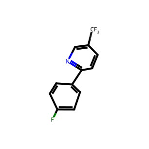 Fc1ccc(-c2ccc(C(F)(F)F)cn2)cc1